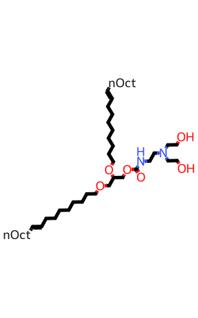 CCCCCCCCC=CCCCCCCCCOCC(COC(=O)NCCN(CCO)CCO)OCCCCCCCCC=CCCCCCCCC